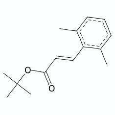 Cc1cccc(C)c1C=CC(=O)OC(C)(C)C